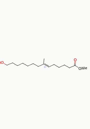 COC(=O)CCCC/C=C(\C)CCCCCCCO